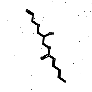 C=CCOCC(O)COC(=O)/C=C/C=C/C